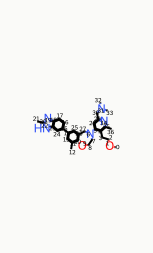 COCCc1c(N2CCOc3c(C)cc(-c4ccc5nc(C)[nH]c5c4)cc3C2)cc(CN(C)C)nc1C